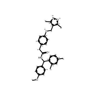 COc1ccc(C(NC(=O)Cc2ccc(OCc3c(C)noc3C)cc2)c2ccc(C)cc2C)cc1